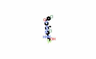 CC[C@H]1CN(c2ncc(-c3nc(C(O)C(F)(F)F)c[nH]3)cc2Cl)CCN1C1CCN(C(=O)c2ccc(Cl)cc2)CC1